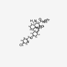 CCCNC(=O)c1c(N)c2cccc(-c3cc(OCc4ccc(Cl)cn4)ccc3F)c2[nH]c1=O